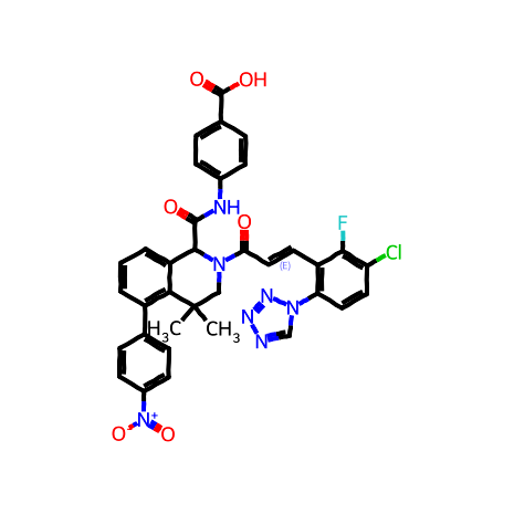 CC1(C)CN(C(=O)/C=C/c2c(-n3cnnn3)ccc(Cl)c2F)C(C(=O)Nc2ccc(C(=O)O)cc2)c2cccc(-c3ccc([N+](=O)[O-])cc3)c21